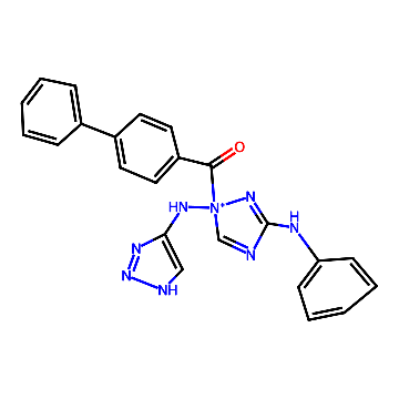 O=C(c1ccc(-c2ccccc2)cc1)[N+]1(Nc2c[nH]nn2)C=NC(Nc2ccccc2)=N1